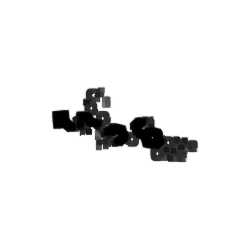 COc1cc2nccc(Oc3ccc(NC(=O)c4nn(CC5CCC5)cc4OCC(F)(F)F)nc3)c2cc1OC